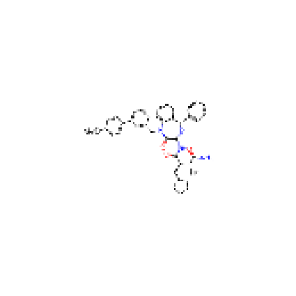 CCC[C@H](C(N)=O)[C@@H](CC1CCCC1)C(=O)NC1N=C(c2ccccc2)c2ccccc2N(Cc2cccc(-c3ccc(OC)cc3)c2)C1=O